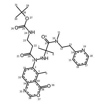 Cc1c(N(NC(C)(C)C(=O)N(C)CCc2ccccn2)C(=O)CCNC(=O)OC(C)(C)C)ccc2ncoc(=O)c12